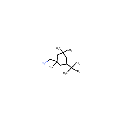 CC1(C)CC(C(C)(C)C)CC(C)(CN)C1